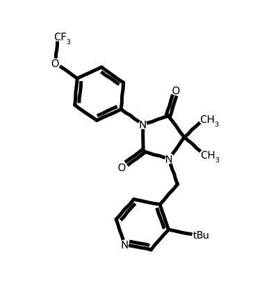 CC(C)(C)c1cnccc1CN1C(=O)N(c2ccc(OC(F)(F)F)cc2)C(=O)C1(C)C